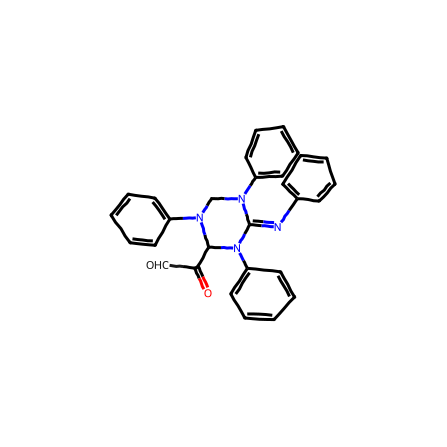 O=CC(=O)C1N(c2ccccc2)CN(c2ccccc2)C(=Nc2ccccc2)N1c1ccccc1